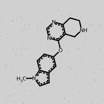 Cn1ccc2cc(Oc3ncnc4c3CNCC4)ccc21